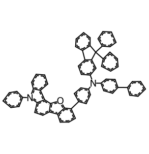 c1ccc(-c2ccc(N(c3ccc(-c4cccc5c4oc4c5ccc5c4c4ccccc4n5-c4ccccc4)cc3)c3ccc4c(c3)C(c3ccccc3)(c3ccccc3)c3ccccc3-4)cc2)cc1